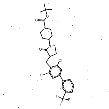 CC(C)(C)OC(=O)N1CCC(N2CCC(Cc3c(Cl)cc(-c4cccc(C(F)(F)F)c4)cc3Cl)C2=O)CC1